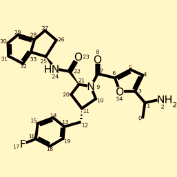 CC(N)c1ccc(C(=O)N2C[C@H](Cc3ccc(F)cc3)C[C@H]2C(=O)N[C@@H]2CCc3ccccc32)o1